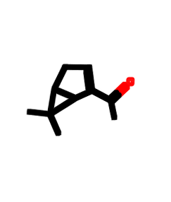 CC(=O)C1=CCC2C1C2(C)C